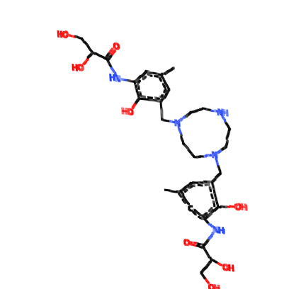 Cc1cc(CN2CCNCCN(Cc3cc(C)cc(NC(=O)C(O)CO)c3O)CC2)c(O)c(NC(=O)C(O)CO)c1